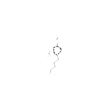 CCCCCCCCCCCCCCc1ccc([N+]#N)cc1.O=[N+]([O-])[O-]